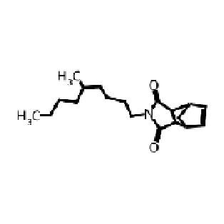 CCCCC(C)CCCCN1C(=O)C2C3C=CC(C3)C2C1=O